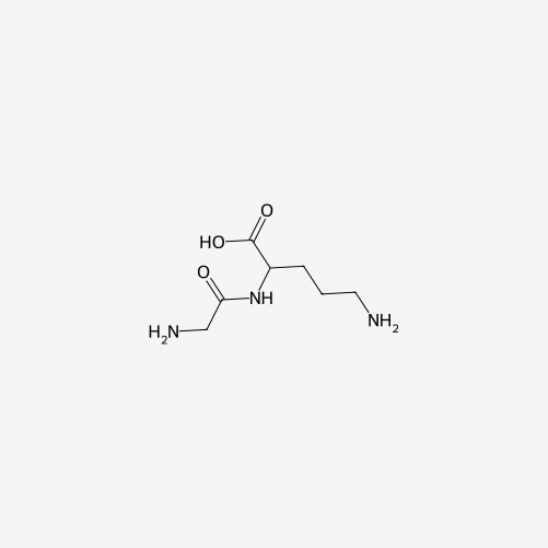 NCCCC(NC(=O)CN)C(=O)O